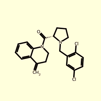 C=C1CCN(C(=O)[C@@H]2CCCN2Cc2cc(Cl)ccc2Cl)c2ccccc21